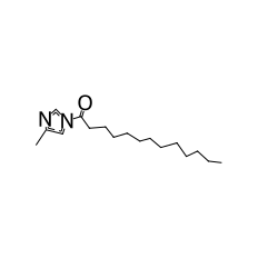 CCCCCCCCCCCCC(=O)n1cnc(C)c1